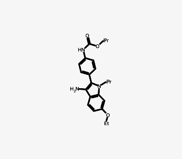 CCOc1ccc2c(N)c(-c3ccc(NC(=O)OC(C)C)cc3)n(C(C)C)c2c1